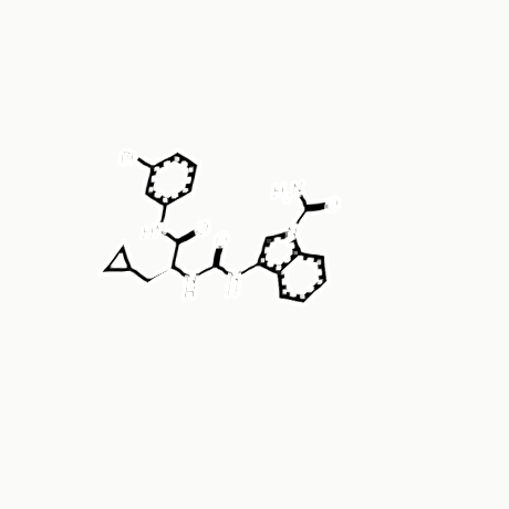 NC(=O)n1cc(NC(=O)N[C@@H](CC2CC2)C(=O)Nc2cccc(Br)c2)c2ccccc21